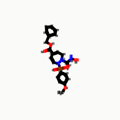 COc1ccc(S(=O)(=O)N2C=CC(C(=O)OCc3ccccc3)=CCN2C(=O)NO)cc1